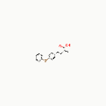 C=C(CCc1ccc(Sc2ccccc2)cc1)C(=O)O